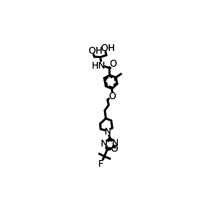 Cc1cc(OCCCC2CCN(c3noc(C(C)(C)F)n3)CC2)ccc1C(=O)NC(CO)CO